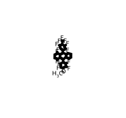 COc1c(F)c(F)c(-c2c3ccccc3c(-c3c(F)c(F)c(C(F)(F)F)c(F)c3F)c3c(F)ccc(F)c23)c(F)c1F